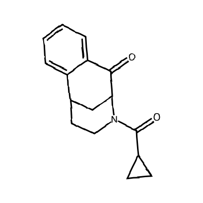 O=C1c2ccccc2C2CCN(C(=O)C3CC3)C1C2